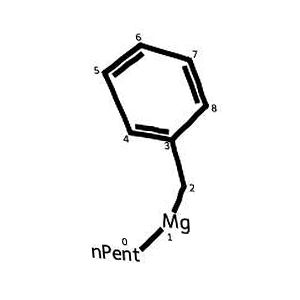 CCCC[CH2][Mg][CH2]c1ccccc1